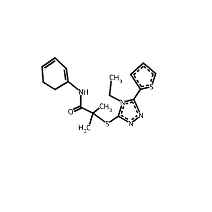 CCn1c(SC(C)(C)C(=O)NC2=CC=CCC2)nnc1-c1cccs1